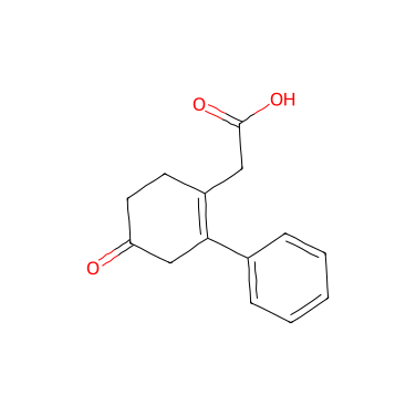 O=C(O)CC1=C(c2ccccc2)CC(=O)CC1